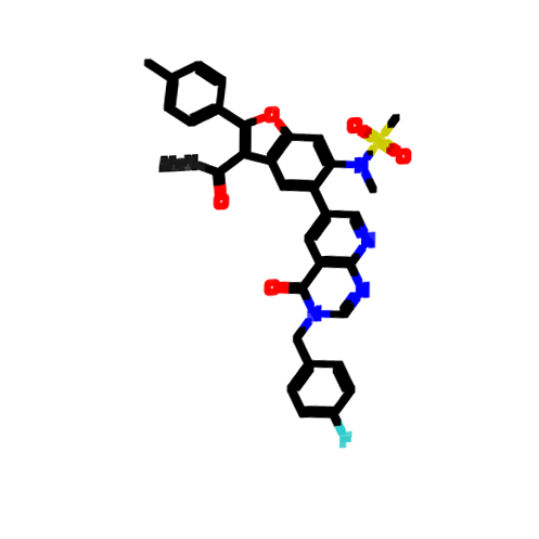 CNC(=O)c1c(-c2ccc(C)cc2)oc2cc(N(C)S(C)(=O)=O)c(-c3cnc4ncn(Cc5ccc(F)cc5)c(=O)c4c3)cc12